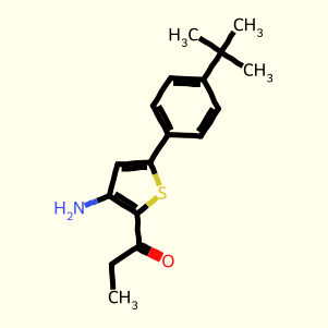 CCC(=O)c1sc(-c2ccc(C(C)(C)C)cc2)cc1N